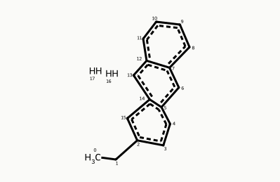 CCc1ccc2cc3ccccc3cc2c1.[HH].[HH]